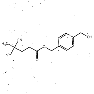 CCCC(C)(C#N)CCC(=O)OCc1ccc(CO)cc1